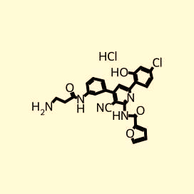 Cl.N#Cc1c(-c2cccc(NC(=O)CCN)c2)cc(-c2ccc(Cl)cc2O)nc1NC(=O)c1ccco1